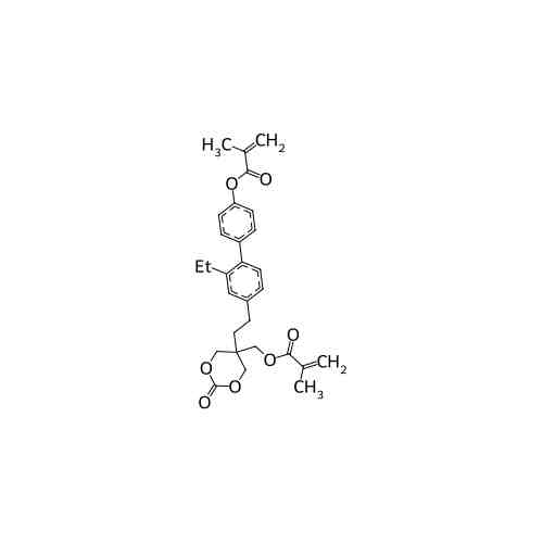 C=C(C)C(=O)OCC1(CCc2ccc(-c3ccc(OC(=O)C(=C)C)cc3)c(CC)c2)COC(=O)OC1